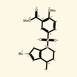 CC[C@@H](C)C1=CC2=C(C1)N(S(=O)(=O)c1ccc(OC)c(C(=O)OC)c1)CCC2C